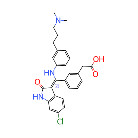 CN(C)CCCc1cccc(N/C(=C2\C(=O)Nc3cc(Cl)ccc32)c2cccc(CC(=O)O)c2)c1